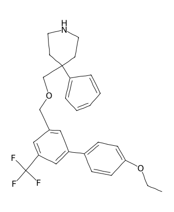 CCOc1ccc(-c2cc(COCC3(c4ccccc4)CCNCC3)cc(C(F)(F)F)c2)cc1